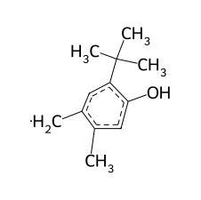 [CH2]c1cc(C(C)(C)C)c(O)cc1C